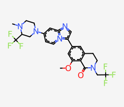 COc1cc(-c2cnc3cc(N4CCN(C)C(C(F)(F)F)C4)ccn23)cc2c1C(=O)N(CC(F)(F)F)CC2